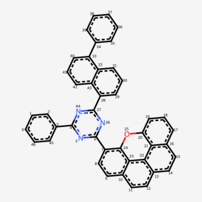 c1ccc(-c2nc(-c3ccc4ccc5ccc6cccc7c6c5c4c3O7)nc(-c3cccc4c(-c5ccccc5)cccc34)n2)cc1